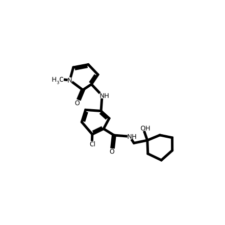 Cn1cccc(Nc2ccc(Cl)c(C(=O)NCC3(O)CCCCC3)c2)c1=O